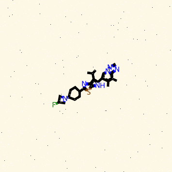 Cc1c(-c2[nH]c3sc(C4CCC(N5CC(F)C5)CC4)nc3c2C(C)C)cn2ncnc2c1C